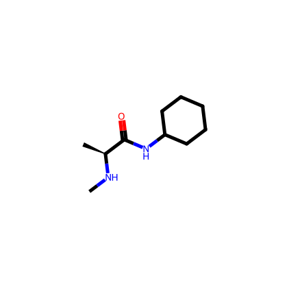 CN[C@@H](C)C(=O)NC1CCCCC1